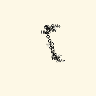 COC(=O)N[C@H](C(=O)N1CC2(C[C@H]1c1nc(-c3ccc(-c4ccc(C(=O)Nc5ccc(N6CCN(C(=O)[C@]7(C)CCCN7C(=O)[C@@H](NC(=O)OC)C(C)C)C[C@H]6C)nc5)cc4)cc3)c[nH]1)OCCO2)C(C)C